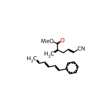 C=C(CC=CC#N)C(=O)OC.C=CC=CC=Cc1ccccc1